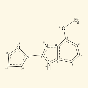 CCOc1cccc2[nH]c(-c3ccco3)nc12